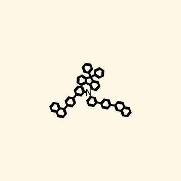 c1ccc(C2(c3ccccc3)c3ccccc3-c3c(N(c4cccc(-c5ccc(-c6ccc7ccccc7c6)cc5)c4)c4cccc(-c5ccc(-c6cccc7ccccc67)cc5)c4)cccc32)cc1